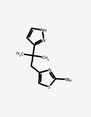 CC(C)(C)c1nc(CC(C)(C)c2cc[nH]n2)cs1